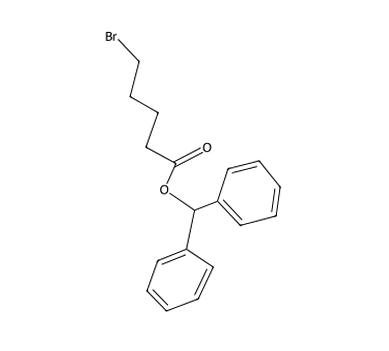 O=C(CCCCBr)OC(c1ccccc1)c1ccccc1